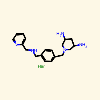 Br.NC1CC(N)CN(Cc2ccc(CNCc3ccccn3)cc2)C1